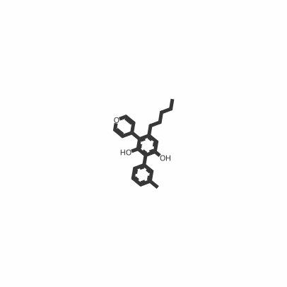 CCCCCc1cc(O)c(-c2cccc(C)c2)c(O)c1C1C=COC=C1